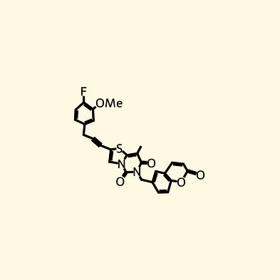 COc1cc(CC#Cc2cn3c(=O)n(Cc4ccc5oc(=O)ccc5c4)c(=O)c(C)c3s2)ccc1F